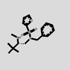 CN[C@H](CN(Cc1ccccc1)S(=O)(=O)c1cccs1)C(C)(C)C